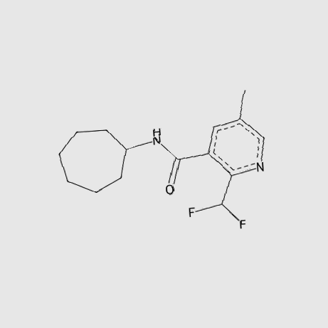 Cc1cnc(C(F)F)c(C(=O)NC2CCCCCC2)c1